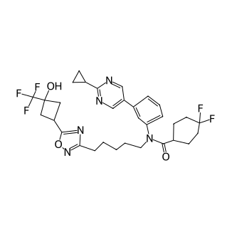 O=C(C1CCC(F)(F)CC1)N(CCCCCc1noc(C2CC(O)(C(F)(F)F)C2)n1)c1cccc(-c2cnc(C3CC3)nc2)c1